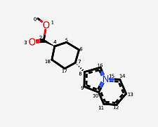 COC(=O)[C@H]1CC[C@H](c2cc3ccccn3c2)CC1